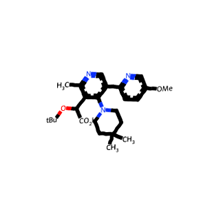 COc1ccc(-c2cnc(C)c(C(OC(C)(C)C)C(=O)O)c2N2CCC(C)(C)CC2)nc1